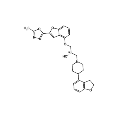 Cc1nnc(-c2cc3c(OC[C@@H](O)CN4CCC(c5cccc6c5CCO6)CC4)cccc3o2)o1